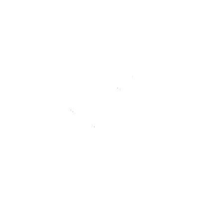 CC(C)N(C)Cc1cnc(Cl)nc1Cl